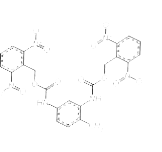 Cc1ccc(NC(=O)OCc2c([N+](=O)[O-])cccc2[N+](=O)[O-])cc1NC(=O)OCc1c([N+](=O)[O-])cccc1[N+](=O)[O-]